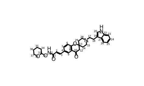 O=C(C=Cc1ccc2c(c1)C(=O)CC1(CCN(CCc3c[nH]c4ccccc34)CC1)O2)NOC1CCCCO1